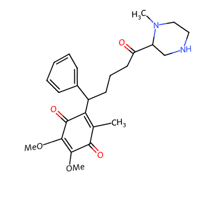 COC1=C(OC)C(=O)C(C(CCCC(=O)C2CNCCN2C)c2ccccc2)=C(C)C1=O